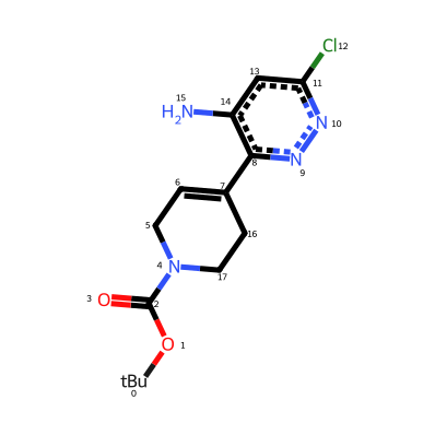 CC(C)(C)OC(=O)N1CC=C(c2nnc(Cl)cc2N)CC1